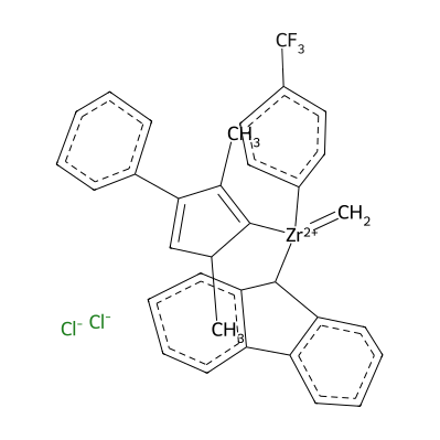 [CH2]=[Zr+2]([C]1=C(C)C(c2ccccc2)=CC1C)([c]1ccc(C(F)(F)F)cc1)[CH]1c2ccccc2-c2ccccc21.[Cl-].[Cl-]